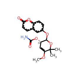 COC1=C[C@H](OC(N)=O)C(Oc2ccc3oc(=O)ccc3c2)OC1(C)C